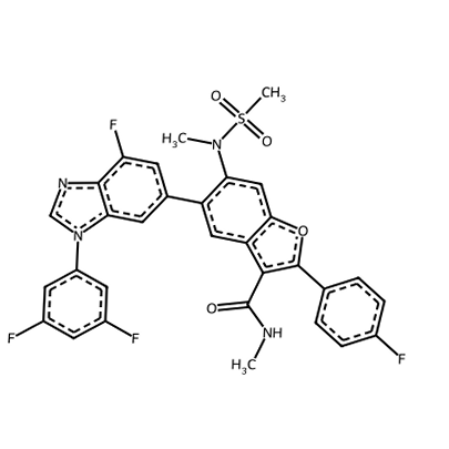 CNC(=O)c1c(-c2ccc(F)cc2)oc2cc(N(C)S(C)(=O)=O)c(-c3cc(F)c4ncn(-c5cc(F)cc(F)c5)c4c3)cc12